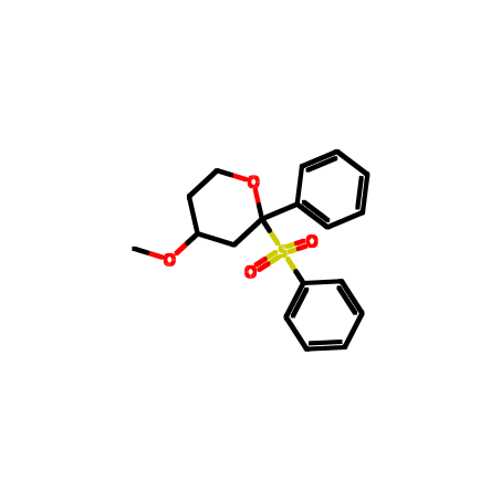 COC1CCOC(c2ccccc2)(S(=O)(=O)c2ccccc2)C1